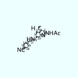 CC(=O)Nc1cc(C)c2ccc(CNCCc3ccc(C#N)cc3)cc2n1